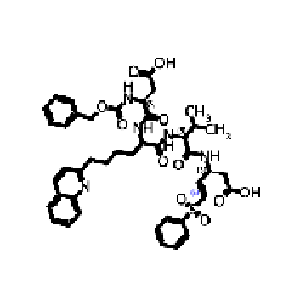 CC(C)[C@H](NC(=O)C(CCCCc1ccc2ccccc2n1)NC(=O)[C@H](CC(=O)O)NC(=O)OCc1ccccc1)C(=O)N[C@H](/C=C/S(=O)(=O)c1ccccc1)CC(=O)O